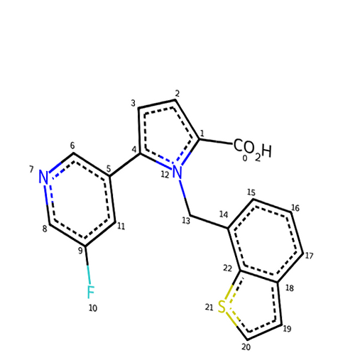 O=C(O)c1ccc(-c2cncc(F)c2)n1Cc1cccc2ccsc12